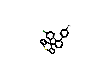 N#Cc1ccc(-c2cccc3c2-c2ccc(Cl)cc2C32c3ccccc3Sc3ccccc32)cc1